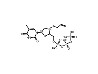 C=CCO[C@@H]1C[C@H](n2cc(C)c(=O)[nH]c2=O)OC1COP(=O)(O)OP(=O)(O)OP(=O)(O)O